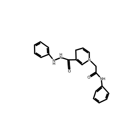 O=C(CN1C=CCC(C(=O)NNc2ccccc2)=C1)Nc1ccccc1